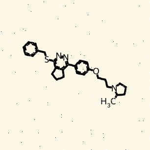 CC1CCCN1CCCOc1ccc(-c2nnc(SCc3ccccc3)c3c2CCC3)cc1